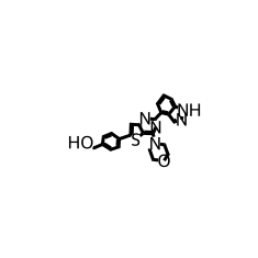 OCc1ccc(-c2cc3nc(-c4cccc5[nH]ncc45)nc(N4CCOCC4)c3s2)cc1